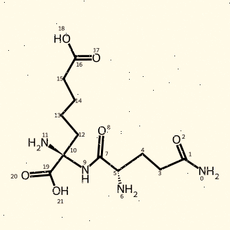 NC(=O)CC[C@H](N)C(=O)N[C@@](N)(CCCCC(=O)O)C(=O)O